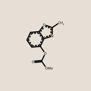 COC(=O)Oc1cccc2oc(C)nc12